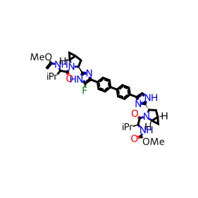 C=C(NC(C(=O)N1[C@@H]2CC2C[C@H]1c1nc(-c2ccc(-c3ccc(-c4c[nH]c([C@@H]5C[C@H]6C[C@H]6N5C(=O)[C@@H](NC(=O)OC)C(C)C)n4)cc3)cc2)c(F)[nH]1)C(C)C)OC